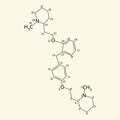 CN1CCCCC1CCOc1ccc(Cc2ccccc2OCCC2CCCCN2C)cc1